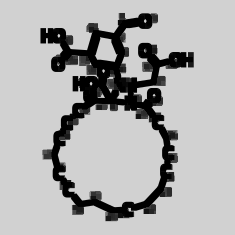 O=[C]c1cc(N[C@]2(C(=O)O)C(=O)CCCCCCCCCCCCCCCCC(=O)N2CCC(=O)O)cc(C(=O)O)c1